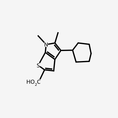 Cc1c(C2CCCCC2)c2cc(C(=O)O)sc2n1C